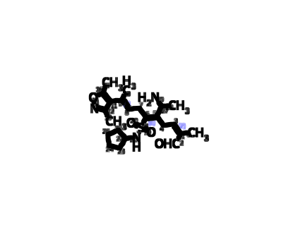 C/C(C=O)=C/C/C(=C(/C/C=C(\C)c1c(C)noc1C)S(=O)(=O)NC1CCCC1)C(C)N